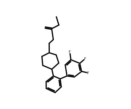 C=C(CC)CCC1CCC(c2ccccc2-c2cc(F)c(F)c(F)c2)CC1